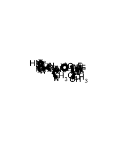 CC(C)(O)c1cc(OC2CCC(N3CC(CC#N)(n4cc(-c5ncnc6[nH]ccc56)cn4)C3)CC2)nc(C(F)(F)F)n1